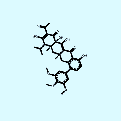 COc1cc(-c2ccc(O)c3c2C[C@]2(C)C[C@]4(C)C(C(C)C)C(O)=C(C(C)=O)C(=O)[C@]4(O)C(O)=C2C3=O)cc(OC)c1OC